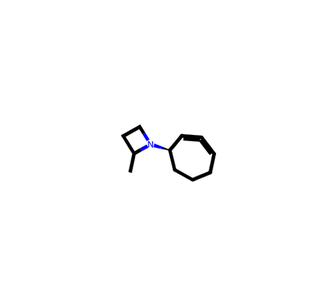 CC1CCN1[C@H]1C=C=CCCC1